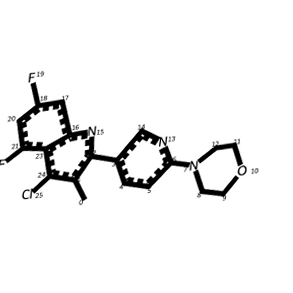 Cc1c(-c2ccc(N3CCOCC3)nc2)nc2cc(F)cc(F)c2c1Cl